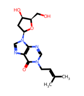 CC(C)=CCn1cnc2c(ncn2[C@H]2C[C@@H](O)[C@@H](CO)O2)c1=O